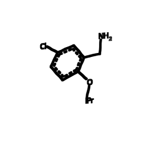 CC(C)Oc1ccc(Cl)cc1CN